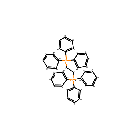 c1ccc([PH](CC[PH](c2ccccc2)(c2ccccc2)c2ccccc2)(c2ccccc2)c2ccccc2)cc1